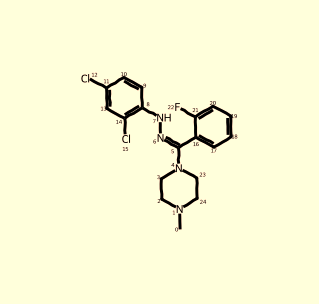 CN1CCN(C(=NNc2ccc(Cl)cc2Cl)c2ccccc2F)CC1